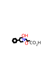 O=C(O)CC(=O)CN1CCC(c2ccccc2)CC1O